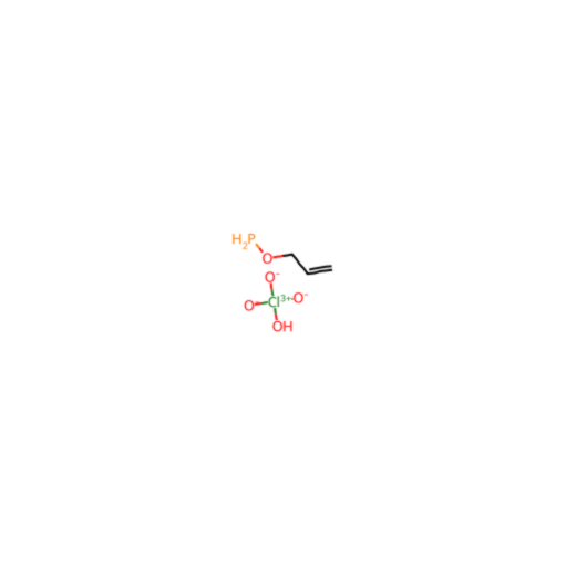 C=CCOP.[O-][Cl+3]([O-])([O-])O